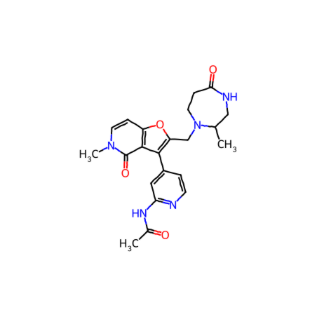 CC(=O)Nc1cc(-c2c(CN3CCC(=O)NCC3C)oc3ccn(C)c(=O)c23)ccn1